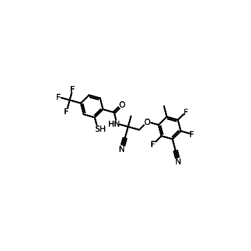 Cc1c(F)c(F)c(C#N)c(F)c1OCC(C)(C#N)NC(=O)c1ccc(C(F)(F)F)cc1S